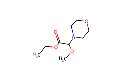 CCOC(=O)C(OC)N1CCOCC1